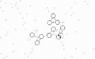 CC1(C)c2cc3c4ccccc4c4ccccc4c3cc2-c2c1ccc1c3cnccc3n(-c3cccc4c5cc(-c6ccc7c(c6)c6ccccc6n7-c6ccccc6)ccc5n(-c5ccccc5)c34)c21